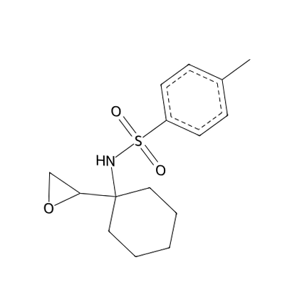 Cc1ccc(S(=O)(=O)NC2(C3CO3)CCCCC2)cc1